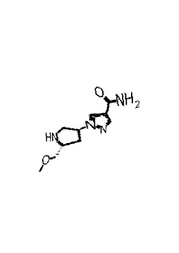 COC[C@H]1C[C@H](n2cc(C(N)=O)cn2)CN1